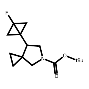 CC(C)(C)OC(=O)N1CC(C23CC2(F)C3)C2(CC2)C1